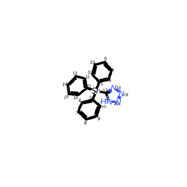 c1cc[c]([Sn]([c]2ccccc2)([c]2ccccc2)[c]2nnn[nH]2)cc1